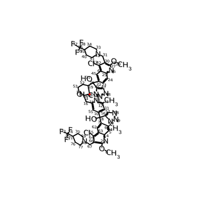 COc1nc2ccc(C(O)(c3cc(C)nc(CC4CC(C(O)(c5ccc6nc(OC)c(CN7CCC(C(F)(F)F)CC7)c(Cl)c6c5)c5cnnn5C)CCO4)c3)c3cnnn3C)cc2c(Cl)c1CN1CCC(C(F)(F)F)CC1